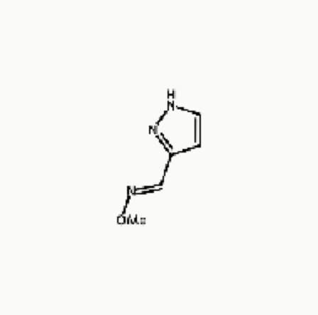 CO/N=C/c1cc[nH]n1